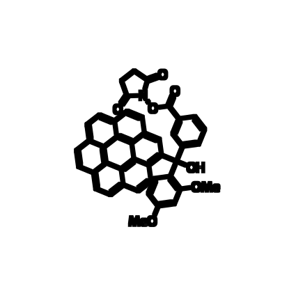 COc1ccc(C(O)(c2cccc(C(=O)ON3C(=O)CCC3=O)c2)c2cc3ccc4ccc5ccc6ccc7ccc2c2c7c6c5c4c32)c(OC)c1